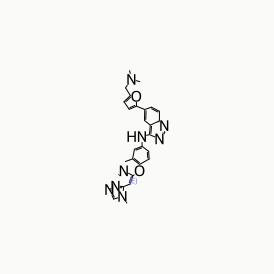 C=N/C(=C\c1nncn1C)Oc1ccc(Nc2ncnc3ccc(-c4ccc(CN(C)C)o4)cc23)cc1C